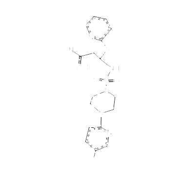 NC(=O)C[C@](O)(NS(=O)(=O)N1CCN(c2ccc(Cl)cn2)CC1)Sc1ccccn1